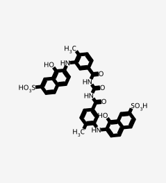 Cc1ccc(C(=O)NC(=O)NC(=O)c2ccc(C)c(Nc3ccc4ccc(S(=O)(=O)O)cc4c3O)c2)cc1Nc1ccc2ccc(S(=O)(=O)O)cc2c1O